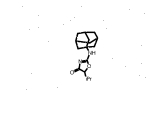 CC(C)C1OC(NC23CC4CC(CC(C4)C2)C3)=NC1=O